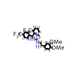 COc1ccc(CCNC(=O)NC(c2ccc(C(F)(F)F)cc2)c2ncccc2C(F)(F)F)cc1OC